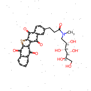 CN(C[C@H](O)[C@@H](O)[C@H](O)[C@H](O)CO)C(=O)CCc1ccc2c(=O)c3sc4c(=O)c5ccccc5c(=O)c4c3c(=O)c2c1